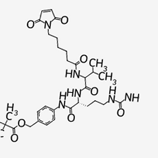 CC(C)C(NC(=O)CCCCCN1C(=O)C=CC1=O)C(=O)N[C@H](CCCNC(N)=O)C(=O)Nc1ccc(COC(=O)C(C)(C)C)cc1